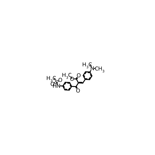 COC(=O)C(=Cc1ccc(N(C)C)cc1)C(=O)c1ccc(NS(C)(=O)=O)cc1